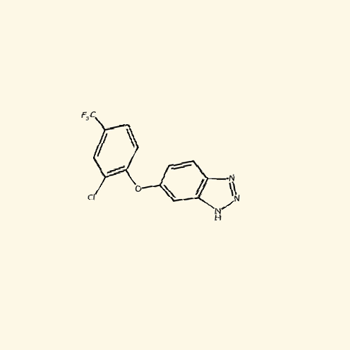 FC(F)(F)c1ccc(Oc2ccc3nn[nH]c3c2)c(Cl)c1